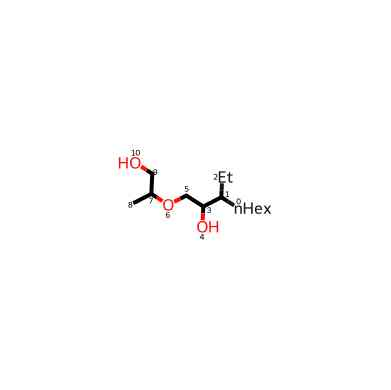 CCCCCCC(CC)C(O)COC(C)CO